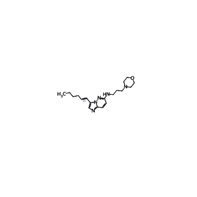 CCCC/C=C/c1cnc2ccc(NCCCN3CCOCC3)nn12